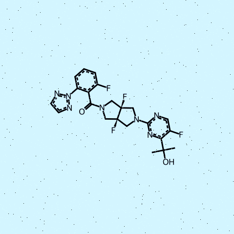 CC(C)(O)c1nc(N2C[C@]3(F)CN(C(=O)c4c(F)cccc4-n4nccn4)C[C@]3(F)C2)ncc1F